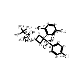 O=S(=O)(N[C@H]1C[C@@](c2cc(F)ccc2F)(S(=O)(=O)c2ccc(Cl)cc2)C1)C(F)(F)F